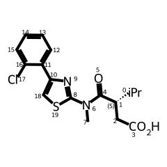 CC(C)[C@H](CC(=O)O)C(=O)N(C)c1nc(-c2ccccc2Cl)cs1